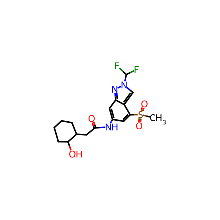 CS(=O)(=O)c1cc(NC(=O)CC2CCCCC2O)cc2nn(C(F)F)cc12